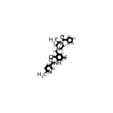 Cc1ccc(C(=O)Nc2cc(F)cc(CN3CCN(C(=O)C4CCCC4)[C@@H](C)C3)c2Cl)cn1